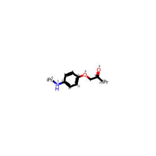 CC(C)Nc1ccc(OCC(=O)C(C)C)cc1